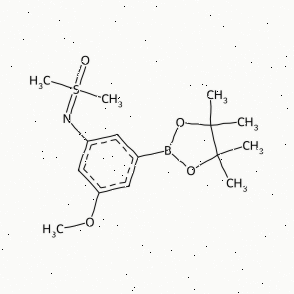 COc1cc(N=S(C)(C)=O)cc(B2OC(C)(C)C(C)(C)O2)c1